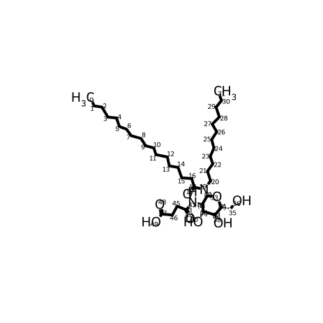 CCCCCCCCCCCCCCCCCC(=O)N(CCCCCCCCCCCC)[C@@H]1O[C@H](CO)[C@@H](O)[C@H](O)[C@@H]1NC(=O)CCC(=O)O